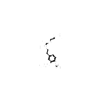 C=CCOC(=O)NCCc1ccc(OC(C)C)c(OC)c1